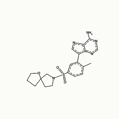 Cc1ccc(S(=O)(=O)N2CCC3(CCCO3)C2)cc1-c1cnc2c(N)ncnn12